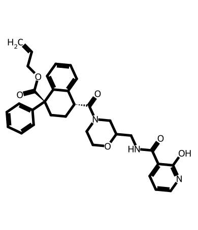 C=CCOC(=O)[C@]1(c2ccccc2)CC[C@@H](C(=O)N2CCOC(CNC(=O)c3cccnc3O)C2)c2ccccc21